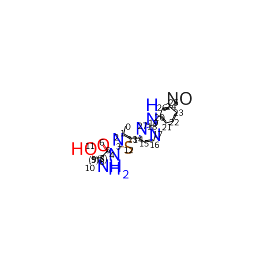 Cc1nc(NC(=O)[C@@H](N)[C@H](C)O)sc1-c1ccnc(Nc2cccc(N=O)c2)n1